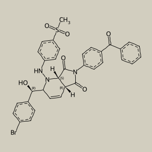 CS(=O)(=O)c1ccc(NN2C([C@H](O)c3ccc(Br)cc3)C=C[C@H]3C(=O)N(c4ccc(C(=O)c5ccccc5)cc4)C(=O)[C@H]32)cc1